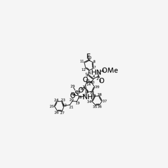 CONC(=O)c1c(-c2ccc(F)cc2)oc2cc(NC(CCCc3ccccc3)S(C)(=O)=O)c(-c3ccccc3)cc12